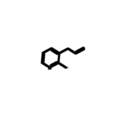 [CH2]c1ncccc1CC=C